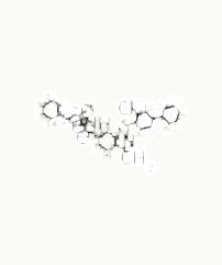 Cc1nn(Cc2ccc(-c3ccccc3)cc2Cl)c2cc(C(=O)NS(=O)(=O)/C=C/c3ccccc3)ccc12